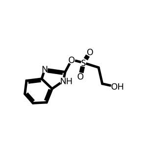 O=S(=O)(CCO)Oc1nc2ccccc2[nH]1